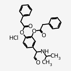 CC(C)NC(C=O)c1ccc(OC(=O)Cc2ccccc2)c(OC(=O)Cc2ccccc2)c1.Cl